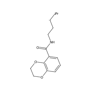 CC(C)[CH]CCNC(=O)c1cccc2c1OCCO2